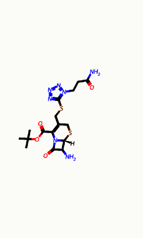 CC(C)(C)OC(=O)C1=C(CSc2nnnn2CCC(N)=O)CS[C@@H]2C(N)C(=O)N12